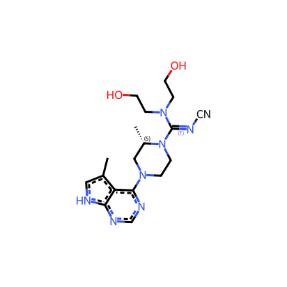 Cc1c[nH]c2ncnc(N3CCN(/C(=N/C#N)N(CCO)CCO)[C@@H](C)C3)c12